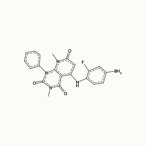 Bc1ccc(Nc2cc(=O)n(C)c3c2c(=O)n(C)c(=O)n3-c2ccccc2)c(F)c1